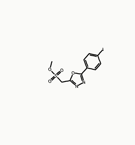 COS(=O)(=O)Cc1nnc(-c2ccc(I)cc2)o1